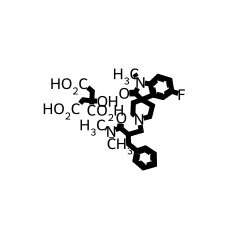 CN(C)C(=O)C(Cc1ccccc1)CN1CCC2(CC1)C(=O)N(C)c1ccc(F)cc12.O=C(O)CC(O)(CC(=O)O)C(=O)O